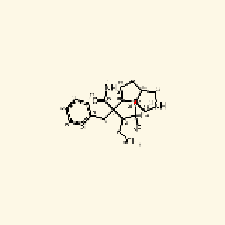 CCC(C(F)(F)F)C(Cc1ccccc1)(C(N)=O)C1CCC2CNCC21